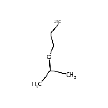 CC(C)OCC[18F]